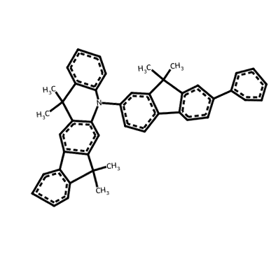 CC1(C)c2cc(-c3ccccc3)ccc2-c2ccc(N3c4ccccc4C(C)(C)c4cc5c(cc43)C(C)(C)c3ccccc3-5)cc21